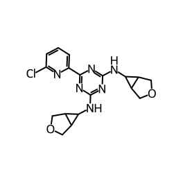 Clc1cccc(-c2nc(NC3C4COCC43)nc(NC3C4COCC43)n2)n1